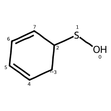 OSC1[C]C=CC=C1